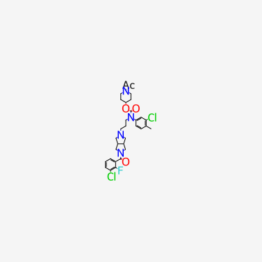 CC(=O)N1CCC(OC(=O)N(CCCN2CC3CN(C(=O)c4cccc(Cl)c4F)CC3C2)c2ccc(C)c(Cl)c2)CC1